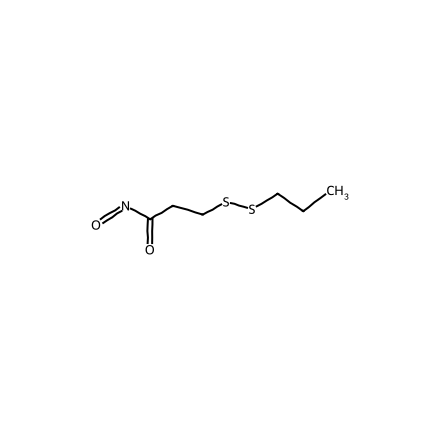 CCCSSCCC(=O)N=O